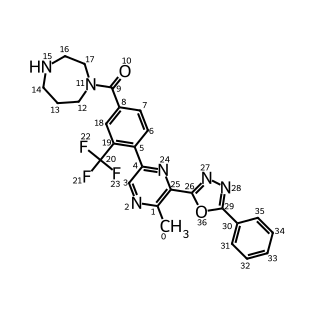 Cc1ncc(-c2ccc(C(=O)N3CCCNCC3)cc2C(F)(F)F)nc1-c1nnc(-c2ccccc2)o1